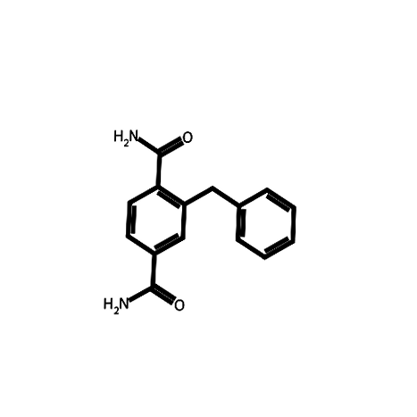 NC(=O)c1ccc(C(N)=O)c(Cc2ccccc2)c1